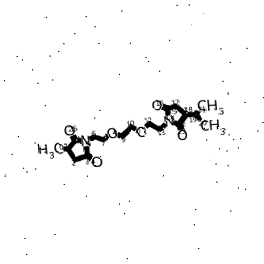 CC1CC(=O)N(CCOCCOCCN2C(=O)CC(C(C)C)C2=O)C1=O